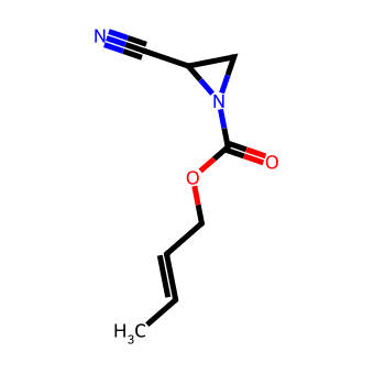 CC=CCOC(=O)N1CC1C#N